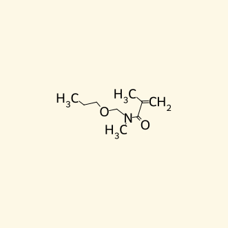 C=C(C)C(=O)N(C)COCCC